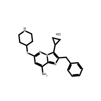 Cl.Nc1cc(SC2CCNCC2)nn2c(C3CC3)c(Cc3ccccc3)nc12